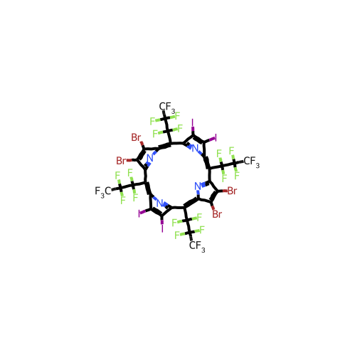 FC(F)(F)C(F)(F)C(F)(F)C1=C2N=C(C(Br)=C2Br)C(C(F)(F)C(F)(F)C(F)(F)F)=C2N=C(C(I)=C2I)C(C(F)(F)C(F)(F)C(F)(F)F)=C2N=C(C(Br)=C2Br)C(C(F)(F)C(F)(F)C(F)(F)F)=C2N=C1C(I)=C2I